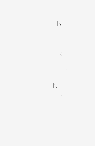 C=C/C(C)=N\C(=C)n1cnc2ccccc21